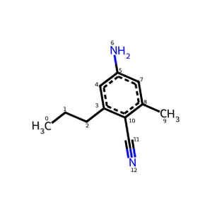 CCCc1cc(N)cc(C)c1C#N